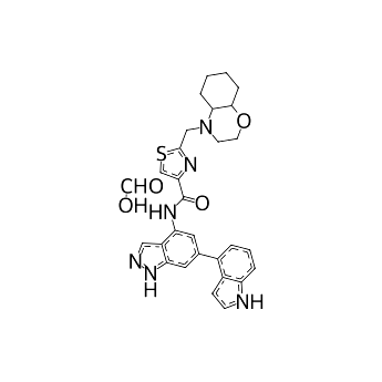 O=C(Nc1cc(-c2cccc3[nH]ccc23)cc2[nH]ncc12)c1csc(CN2CCOC3CCCCC32)n1.O=CO